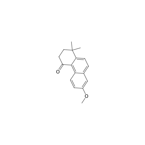 COc1ccc2c3c(ccc2c1)C(C)(C)CCC3=O